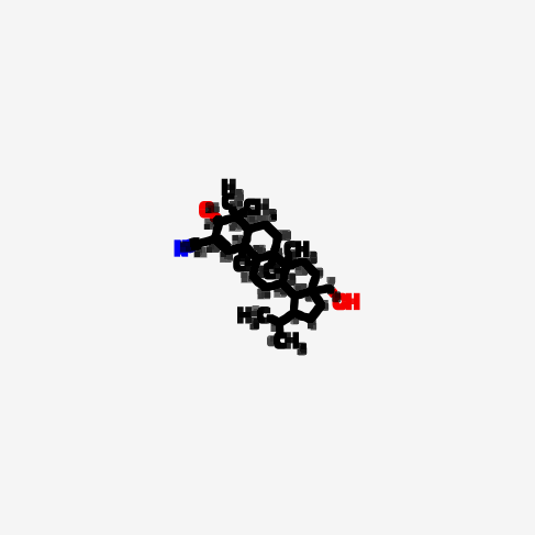 CC(C)C1CCC2(CO)CCC3(C)C(CCC4C5(C)C=C(C#N)C(=O)C(C)(C)C5CCC43C)C12